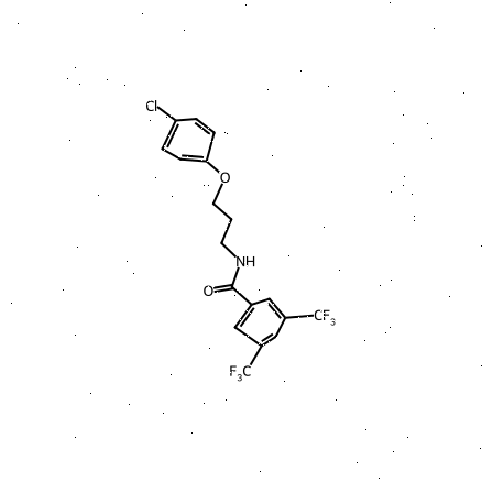 O=C(NCCCOc1ccc(Cl)cc1)c1cc(C(F)(F)F)cc(C(F)(F)F)c1